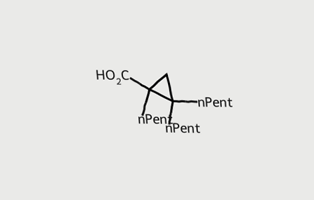 CCCCCC1(CCCCC)CC1(CCCCC)C(=O)O